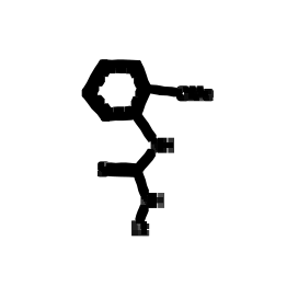 CCNC(=S)Nc1ccccc1OC